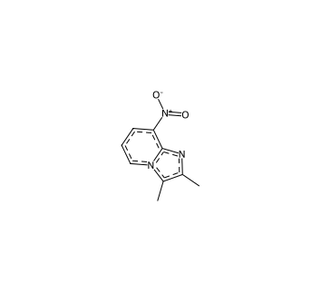 Cc1nc2c([N+](=O)[O-])cccn2c1C